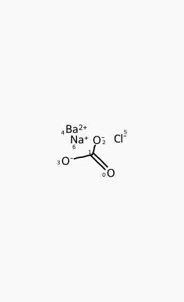 O=C([O-])[O-].[Ba+2].[Cl-].[Na+]